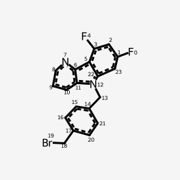 Fc1cc(F)c2c3ncccc3n(Cc3ccc(CBr)cc3)c2c1